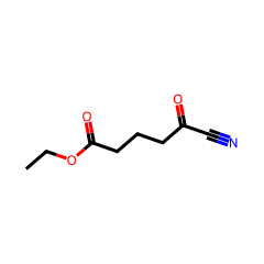 CCOC(=O)CCCC(=O)C#N